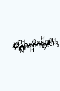 CN1CCC[C@H]1c1cncc(OCCNC(=O)CCCNC(=O)OC(C)(C)C)c1